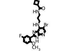 COc1ccc(F)cc1-c1nc2c(NCCCNC(=O)C3CCC3)c(Br)cnc2[nH]1